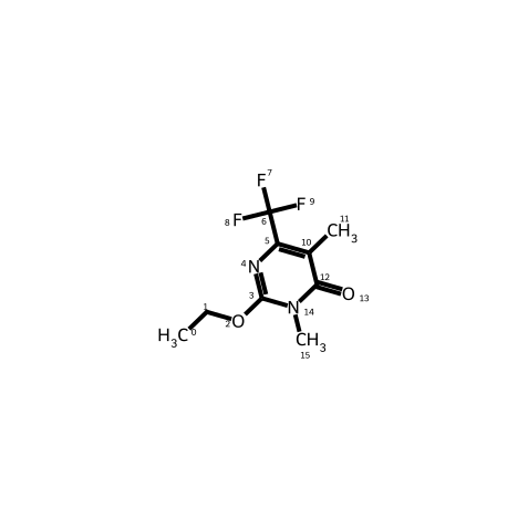 CCOc1nc(C(F)(F)F)c(C)c(=O)n1C